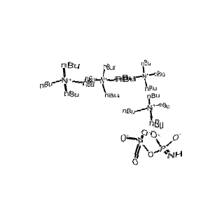 CCCC[N+](CCCC)(CCCC)CCCC.CCCC[N+](CCCC)(CCCC)CCCC.CCCC[N+](CCCC)(CCCC)CCCC.CCCC[N+](CCCC)(CCCC)CCCC.N=P([O-])([O-])OP(=O)([O-])[O-]